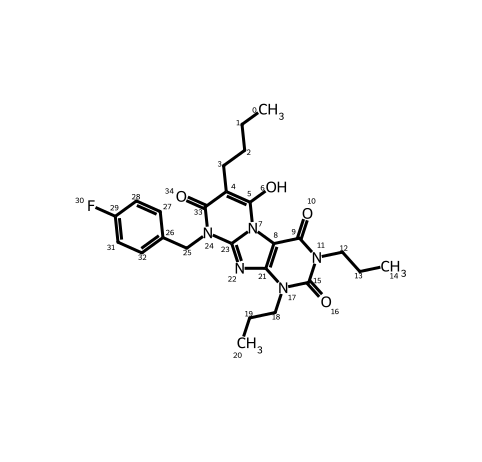 CCCCc1c(O)n2c3c(=O)n(CCC)c(=O)n(CCC)c3nc2n(Cc2ccc(F)cc2)c1=O